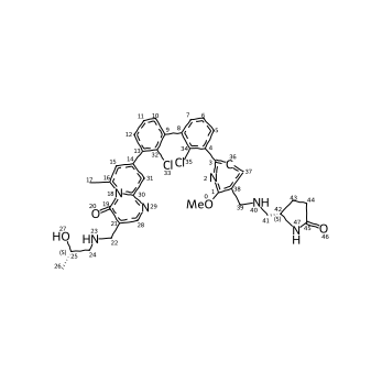 COc1nc(-c2cccc(-c3cccc(-c4cc(C)n5c(=O)c(CNC[C@H](C)O)cnc5c4)c3Cl)c2Cl)ccc1CNC[C@@H]1CCC(=O)N1